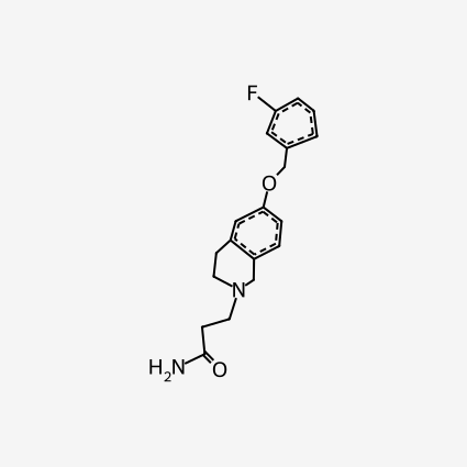 NC(=O)CCN1CCc2cc(OCc3cccc(F)c3)ccc2C1